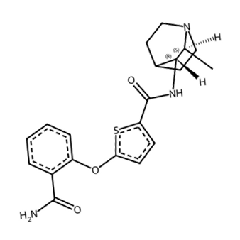 C[C@H]1[C@H](NC(=O)c2ccc(Oc3ccccc3C(N)=O)s2)C2CCN1CC2